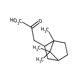 CC1(C)C2CCC1(C)C(CC(=O)C(=O)O)C2